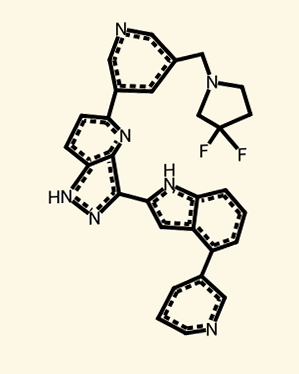 FC1(F)CCN(Cc2cncc(-c3ccc4[nH]nc(-c5cc6c(-c7cccnc7)cccc6[nH]5)c4n3)c2)C1